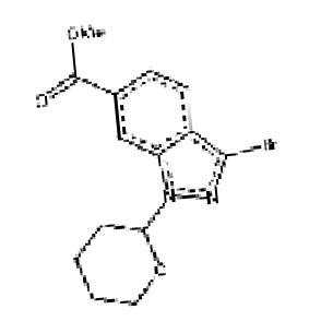 COC(=O)c1ccc2c(Br)nn(C3CCCCO3)c2c1